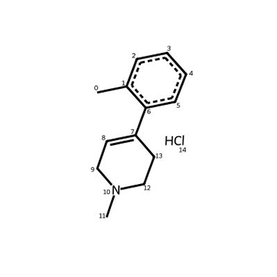 Cc1ccccc1C1=CCN(C)CC1.Cl